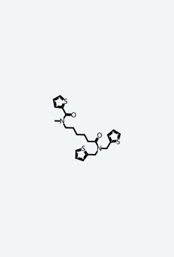 CN(CCCCCC(=O)N(Cc1cccs1)Cc1cccs1)C(=O)c1cccs1